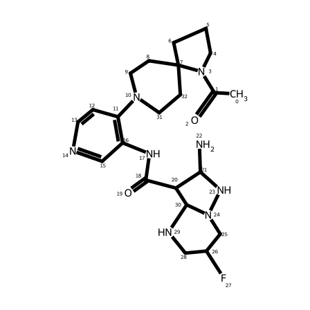 CC(=O)N1CCCC12CCN(c1ccncc1NC(=O)C1C(N)NN3CC(F)CNC13)CC2